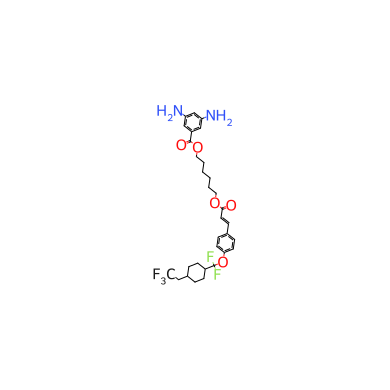 Nc1cc(N)cc(C(=O)OCCCCCCOC(=O)C=Cc2ccc(OC(F)(F)C3CCC(CC(F)(F)F)CC3)cc2)c1